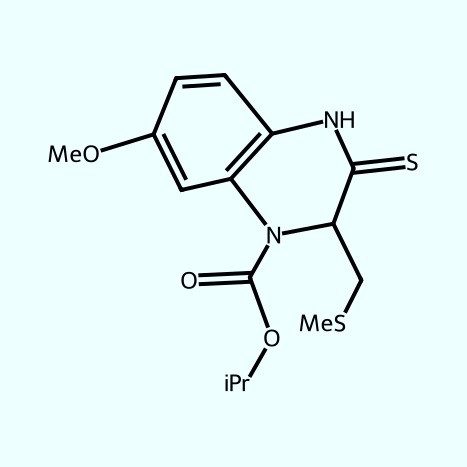 COc1ccc2c(c1)N(C(=O)OC(C)C)C(CSC)C(=S)N2